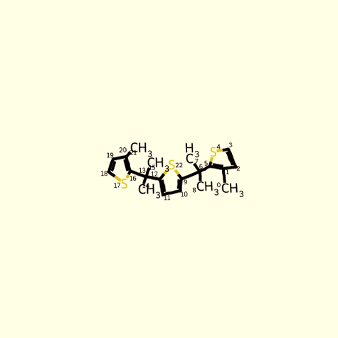 Cc1ccsc1C(C)(C)c1ccc(C(C)(C)c2sccc2C)s1